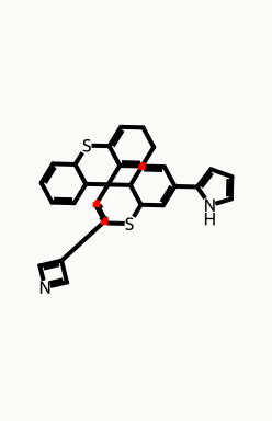 C1=CC2SC3=CCCC=C3C3(C2C=C1)C1C=CC(C2=CN=C2)=CC1SC1C=C(c2ccc[nH]2)C=CC13